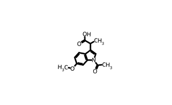 COc1ccc2c(C(C)C(=O)O)cn(C(C)=O)c2c1